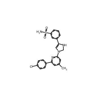 Cc1cc(-c2ccc(Cl)cc2)nc(N2C=C(c3cccc(S(N)(=O)=O)c3)NC2)c1